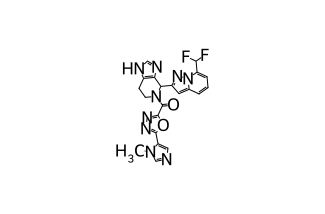 Cn1cncc1-c1nnc(C(=O)N2CCc3[nH]cnc3C2c2cc3cccc(C(F)F)n3n2)o1